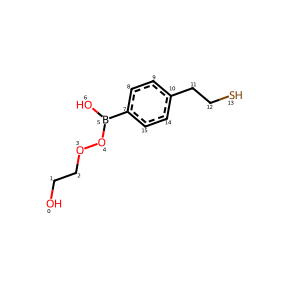 OCCOOB(O)c1ccc(CCS)cc1